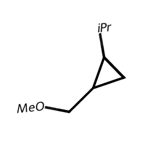 COCC1CC1C(C)C